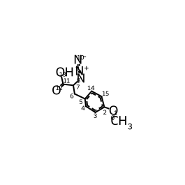 COc1ccc(CC(N=[N+]=[N-])C(=O)O)cc1